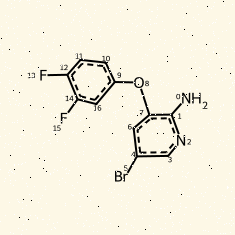 Nc1ncc(Br)cc1Oc1ccc(F)c(F)c1